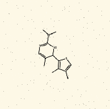 Cc1csc(C2NC(N(C)C)=NC=C2F)c1C